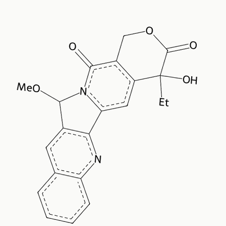 CCC1(O)C(=O)OCc2c1cc1n(c2=O)C(OC)c2cc3ccccc3nc2-1